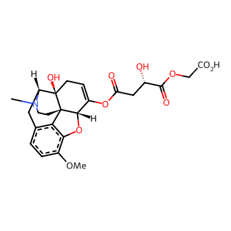 COc1ccc2c3c1O[C@H]1C(OC(=O)C[C@H](O)C(=O)OCC(=O)O)=CC[C@@]4(O)[C@@H](C2)N(C)CC[C@]314